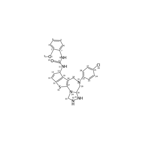 COc1ccccc1NC(=O)NC1C=Cc2sc3c(c21)CN(c1ccc(Cl)cc1)CC1NNCN31